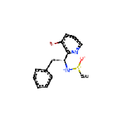 CC(C)(C)[S+]([O-])N[C@H](Cc1ccccc1)c1ncccc1Br